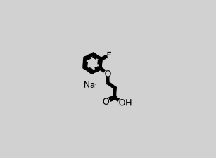 O=C(O)CCOc1ccccc1F.[Na]